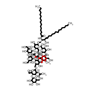 CCCCCCCCCCCCC/C=C/[C@@H](O)[C@H](CO[C@@H]1OC(CO)[C@@H](O[C@@H]2OC(CO)[C@H](O)[C@H](O[C@@H]3OC(CO)[C@@H](O)[C@H](O[C@@H]4OC(CO[C@@H]5OC(CO)[C@@H](O[C@@H]6OC(CO)[C@H](O)[C@H](O)C6O)[C@H](O)C5NC(C)=O)[C@H](O)[C@H](O[C@@H]5OC(CO)[C@@H](O)[C@H](O[C@@H]6OC(CO)[C@H](O)[C@H](O)C6O[C@H]6OC(C)[C@@H](O)C(O)[C@@H]6O)C5NC(C)=O)C4O)C3NC(C)=O)C2O)[C@H](O)C1O)NC(=O)CCCCCCCCCCCCCCC